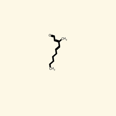 CCCCCC=CC(C)=CC=O